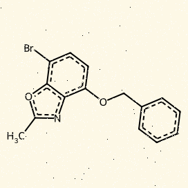 Cc1nc2c(OCc3ccccc3)ccc(Br)c2o1